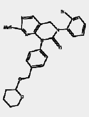 CSc1ncc2c(n1)N(c1ccc(COC3CCCCO3)cc1)C(=O)N(c1ccccc1Br)C2